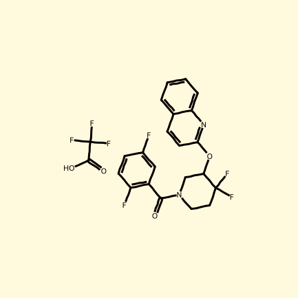 O=C(O)C(F)(F)F.O=C(c1cc(F)ccc1F)N1CCC(F)(F)C(Oc2ccc3ccccc3n2)C1